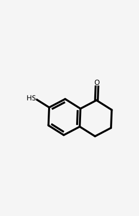 O=C1CCCc2ccc(S)cc21